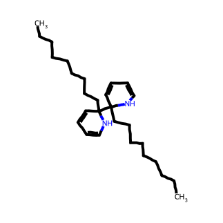 CCCCCCCCCC1(C2(CCCCCCCCC)C=CC=CN2)C=CC=CN1